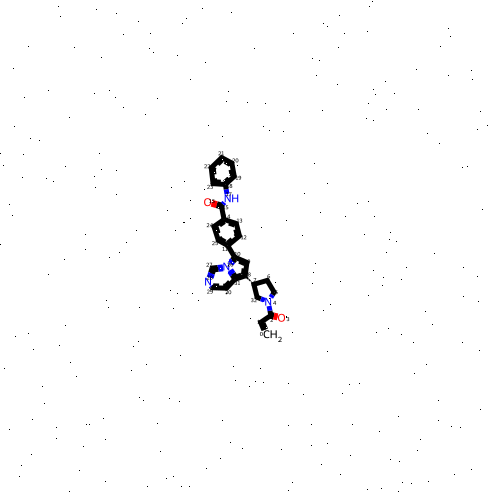 C=CC(=O)N1CC[C@@H](c2cc(-c3ccc(C(=O)Nc4ccccc4)cc3)n3cnccc23)C1